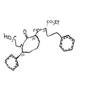 CCOC(=O)[C@H](CCc1ccccc1)N[C@H]1CCC[C@@H](c2ccccc2)N(CC(=O)O)C1=O